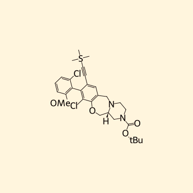 COc1cccc(Cl)c1-c1c(C#CS(C)(C)C)cc2c(c1Cl)OC[C@H]1CN(C(=O)OC(C)(C)C)CCN1C2